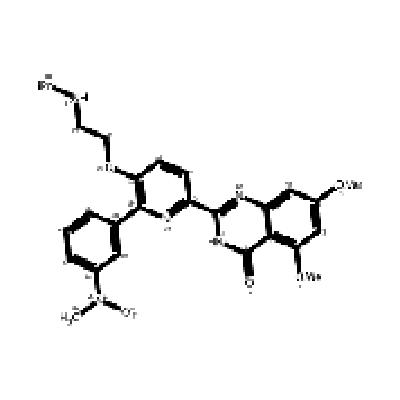 COc1cc(OC)c2c(=O)[nH]c(-c3ccc(OCCNC(C)C)c(-c4cccc([S+](C)[O-])c4)n3)nc2c1